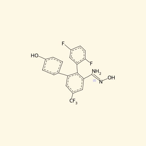 N/C(=N\O)c1cc(C(F)(F)F)cc(-c2ccc(O)cc2)c1-c1cc(F)ccc1F